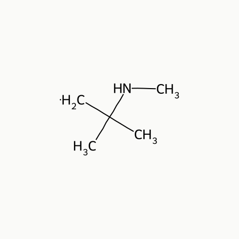 [CH2]C(C)(C)NC